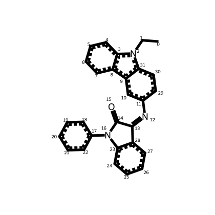 CCn1c2ccccc2c2cc(N=C3C(=O)N(c4ccccc4)c4ccccc43)ccc21